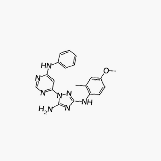 COc1ccc(Nc2nc(N)n(-c3cc(Nc4ccccc4)ncn3)n2)c(C)c1